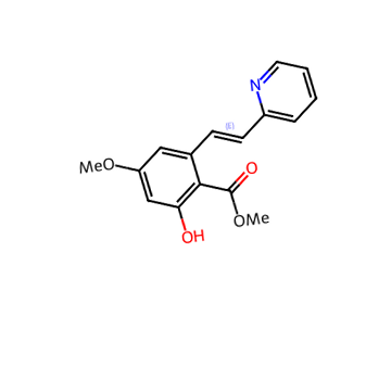 COC(=O)c1c(O)cc(OC)cc1/C=C/c1ccccn1